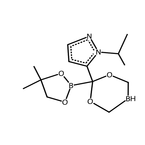 CC(C)n1nccc1C1(B2OCC(C)(C)O2)OCBCO1